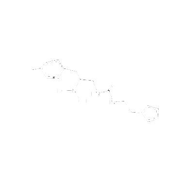 CN(C)C(CNC(=S)NCCc1ccsc1)Cc1ccc(O)cc1